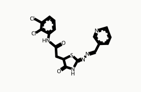 O=C(CC1S/C(=N\N=C\c2cccnc2)NC1=O)Nc1cccc(Cl)c1Cl